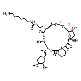 CO[C@H]1C[C@@H](C)[C@@]2(O)O[C@@H]1[C@@H](O)C[C@@H](C)C/C(C)=C/[C@@H](CCCC(=O)NCCCCCCN)C(=O)C[C@H](O)[C@@H](C)[C@@H](/C(C)=C/[C@@H]1CC[C@@H](O)[C@H](OC)C1)OC(=O)[C@@H]1CCCCN1C(=O)C2=O